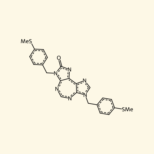 CSc1ccc(Cn2c3ncnc4c(ncn4Cc4ccc(SC)cc4)c-3nc2=O)cc1